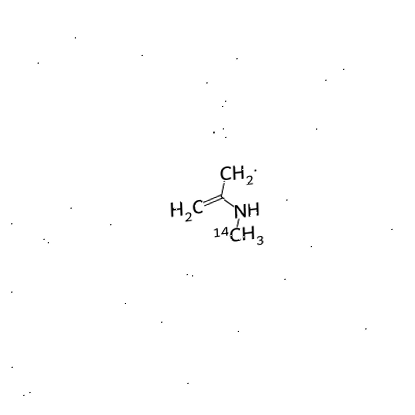 [CH2]C(=C)N[14CH3]